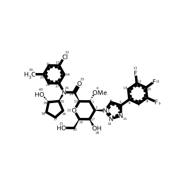 CO[C@@H]1[C@@H](n2cc(-c3cc(F)c(F)c(F)c3)nn2)[C@@H](O)[C@@H](CO)O[C@H]1C(=O)N(c1cc(C)cc(Cl)c1)[C@H]1CCC[C@@H]1O